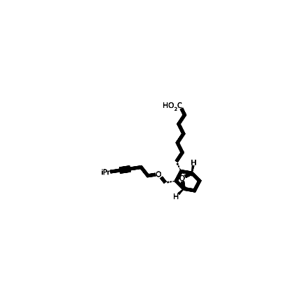 CC(C)C#CCCOC[C@@H]1[C@H](CCCCCCC(=O)O)[C@@H]2CC[C@H]1O2